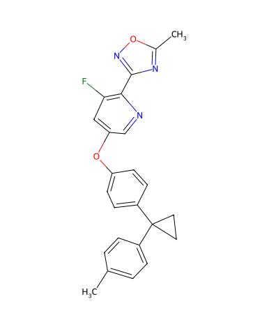 Cc1ccc(C2(c3ccc(Oc4cnc(-c5noc(C)n5)c(F)c4)cc3)CC2)cc1